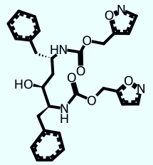 O=C(N[C@@H](Cc1ccccc1)C[C@H](O)[C@H](Cc1ccccc1)NC(=O)OCc1ccno1)OCc1ccno1